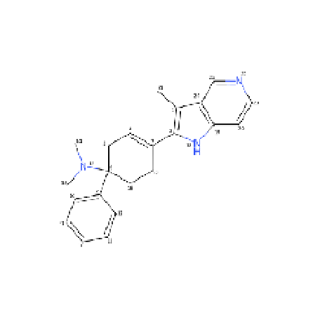 Cc1c(C2=CCC(c3ccccc3)(N(C)C)CC2)[nH]c2ccncc12